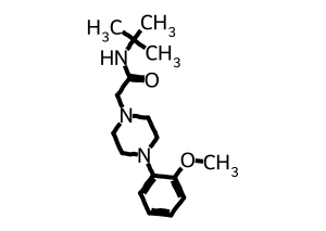 COc1ccccc1N1CCN(CC(=O)NC(C)(C)C)CC1